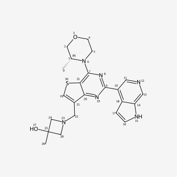 C[C@@H]1COCCN1c1nc(-c2cncc3[nH]ccc23)nc2c(CN3CC(C)(O)C3)csc12